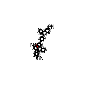 N#Cc1cc(-c2ccc(N3Cc4ccc(C#N)cc4-c4ccccc43)cc2)cc(-c2ccccc2-n2c3ccccc3c3ccc(C#N)cc32)c1